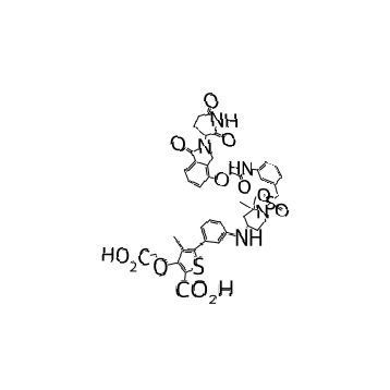 Cc1c(-c2cccc(N[C@H]3CCN(S(=O)(=O)Cc4cccc(NC(=O)COc5cccc6c5CN(C5CCC(=O)NC5=O)C6=O)c4)C(C)(C)C3)c2)sc(C(=O)O)c1OCC(=O)O